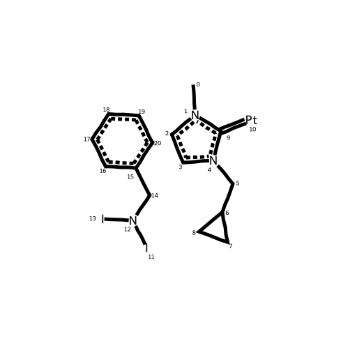 Cn1ccn(CC2CC2)[c]1=[Pt].IN(I)Cc1ccccc1